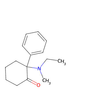 CCN(C)C1(c2ccccc2)CCCCC1=O